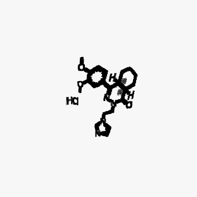 COc1ccc(C2=NN(CCn3ccnc3)C(=O)[C@H]3CCCC[C@@H]23)cc1OC.Cl